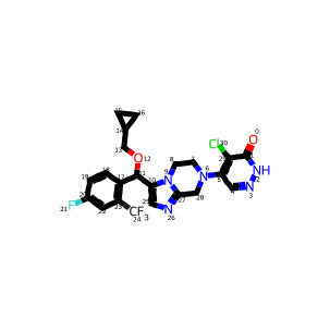 O=c1[nH]ncc(N2CCn3c(C(OCC4CC4)c4ccc(F)cc4C(F)(F)F)cnc3C2)c1Cl